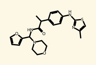 Cc1csc(Nc2ccc(C(C)C(=O)NC(c3ccco3)N3CCOCC3)cc2)n1